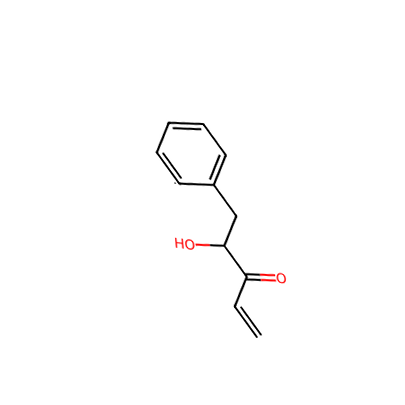 C=CC(=O)C(O)Cc1[c]cccc1